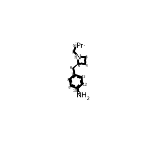 C[C](C)CN1CC[C@H]1Cc1ccc(N)cc1